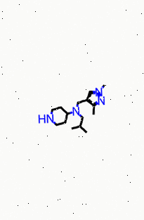 Cc1nn(C)cc1CN(CC(C)C)C1CCNCC1